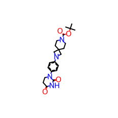 CC(C)(C)OC(=O)N1CCC2(CC1)CN(c1ccc(N3CCC(=O)NC3=O)cc1)C2